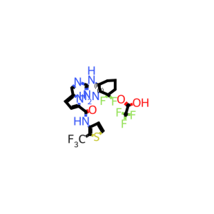 N[C@@H]1[C@H](Nc2ncc3ccc(C(=O)Nc4ccsc4C(F)(F)F)n3n2)CCCC1(F)F.O=C(O)C(F)(F)F